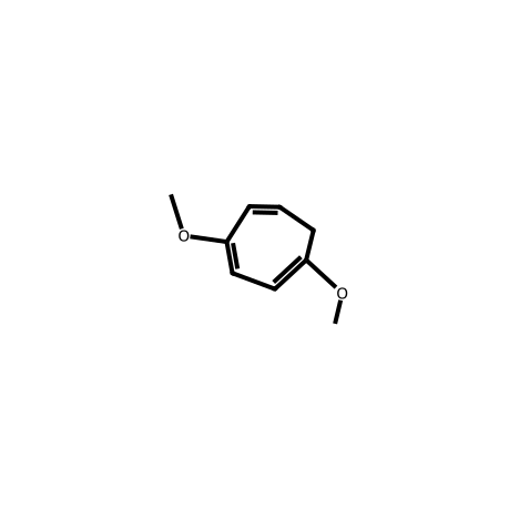 COC1=CC=C(OC)CC=C1